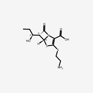 CC[C@H](O)[C@@H]1C(=O)N2C(C(=O)O)=C(SCCN)S[C@H]12